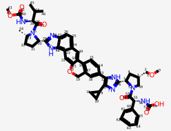 COC[C@H]1C[C@@H](c2nc(C3CC3)c(-c3ccc4c(c3)COc3cc5c(ccc6nc([C@@H]7CC[C@H](C)N7C(=O)[C@@H](NC(=O)OC)C(C)C)[nH]c65)cc3-4)[nH]2)N(C(=O)[C@H](NC(=O)O)c2ccccc2)C1